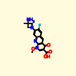 COn1cc(C(=O)O)c(=O)c2cc3cc(F)c(N4CC(C)(N)C4)cc3nc21